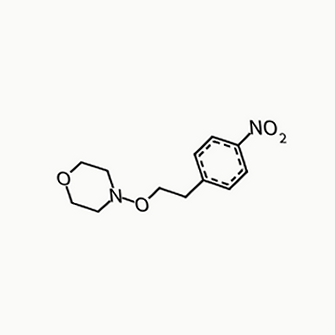 O=[N+]([O-])c1ccc(CCON2CCOCC2)cc1